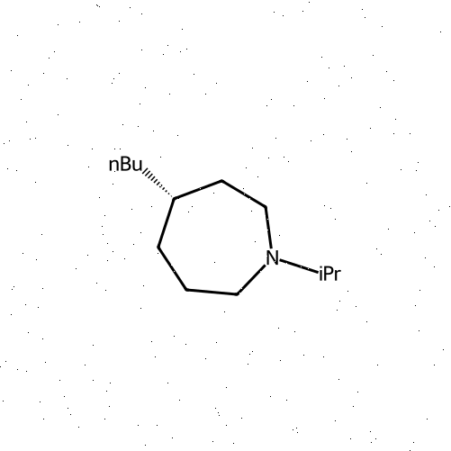 CCCC[C@H]1CCCN(C(C)C)CC1